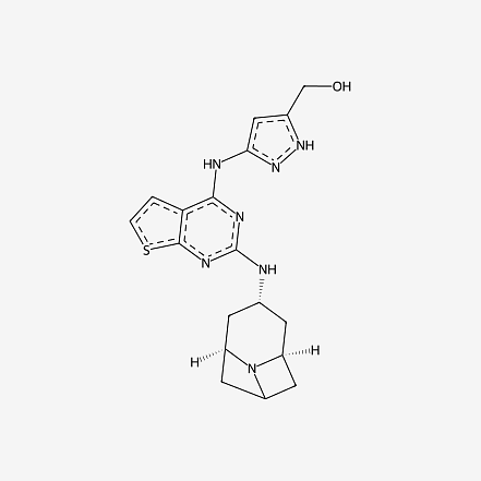 OCc1cc(Nc2nc(N[C@@H]3C[C@H]4CC5C[C@@H](C3)N54)nc3sccc23)n[nH]1